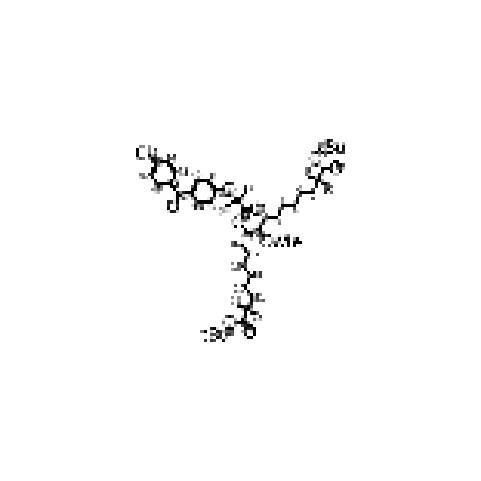 CO[C@@H](CCCCCCC(C)(C)C(=O)OC(C)(C)C)[C@H](CCCCCCC(C)(C)C(=O)OC(C)(C)C)OC(=O)C(C)(C)Oc1ccc(C(=O)c2ccc(Cl)cc2)cc1